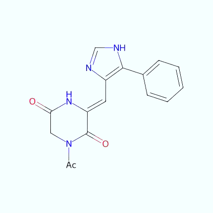 CC(=O)N1CC(=O)NC(=Cc2nc[nH]c2-c2ccccc2)C1=O